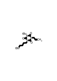 C=CCn1c(=O)n(CCCCC(C)(C)C)c(=O)n(C(C)(C)C)c1=O